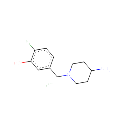 Cl.NC1CCN(Cc2ccc(F)c(O)c2)CC1